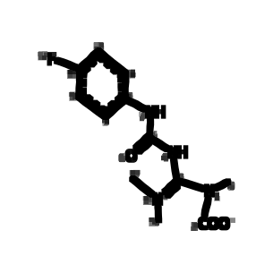 CN(C(=O)[O-])C(NC(=O)Nc1ccc(F)cc1)=[N+](C)C